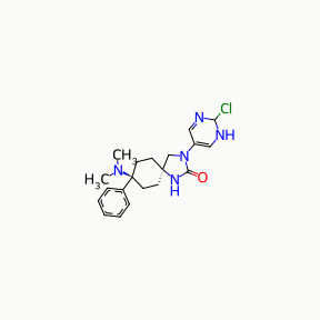 CN(C)[C@]1(c2ccccc2)CC[C@]2(CC1)CN(C1=CNC(Cl)N=C1)C(=O)N2